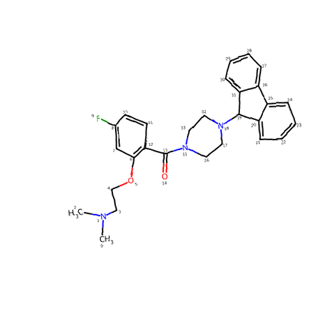 CN(C)CCOc1cc(F)ccc1C(=O)N1CCN(C2c3ccccc3-c3ccccc32)CC1